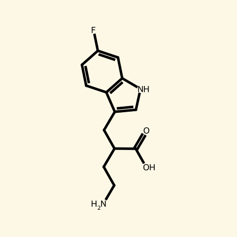 NCCC(Cc1c[nH]c2cc(F)ccc12)C(=O)O